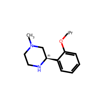 CC(C)Oc1ccccc1[C@@H]1CN(C)CCN1